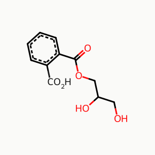 O=C(O)c1ccccc1C(=O)OCC(O)CO